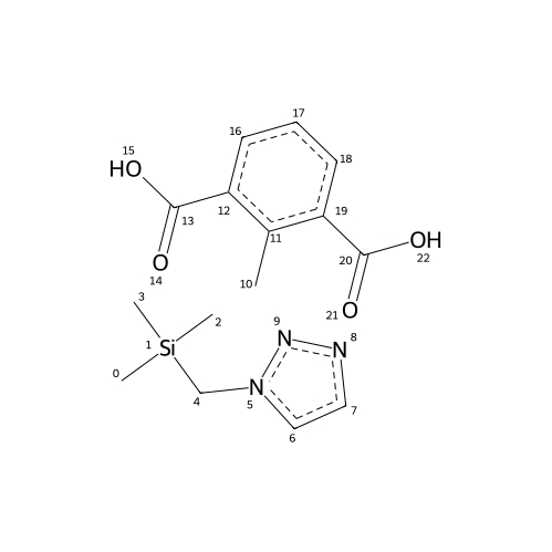 C[Si](C)(C)Cn1ccnn1.Cc1c(C(=O)O)cccc1C(=O)O